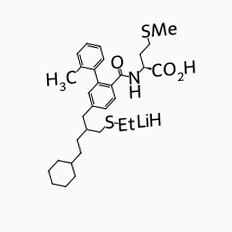 CCSCC(CCC1CCCCC1)Cc1ccc(C(=O)N[C@@H](CCSC)C(=O)O)c(-c2ccccc2C)c1.[LiH]